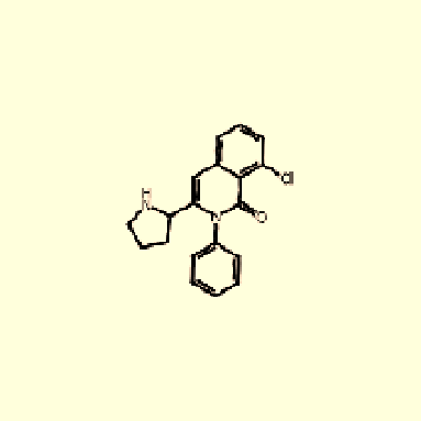 O=c1c2c(Cl)cccc2cc(C2CCCN2)n1-c1ccccc1